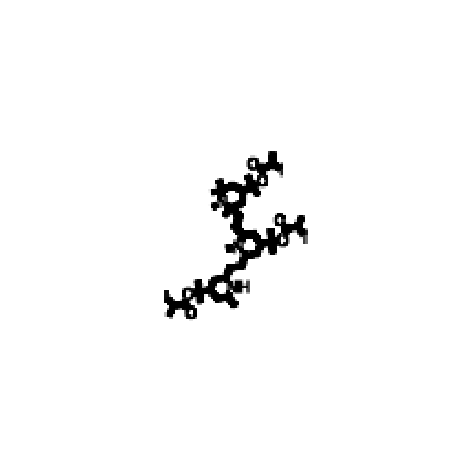 CC1CC(C(C)(C)OC(=O)C(C)I)CC(CCC2CC(C(C)(C)OC(=O)C(C)I)CC(CCC3(C)CC(C(C)(C)OC(=O)C(C)I)CC(C)(C)N3C)N2C)N1